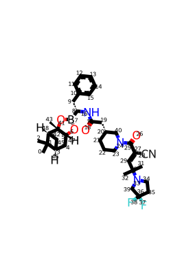 CC1(C)[C@@H]2C[C@H]3OB([C@H](Cc4ccccc4)NC(=O)C[C@H]4CCCN(C(=O)C(C#N)=CC(C)(C)N5CCC(F)(F)C5)C4)O[C@@]3(C)[C@H]1C2